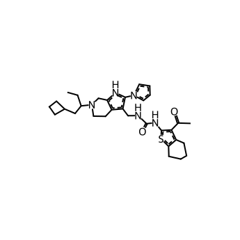 CCC(CC1CCC1)N1CCc2c([nH]c(-n3cccc3)c2CNC(=O)Nc2sc3c(c2C(C)=O)CCCC3)C1